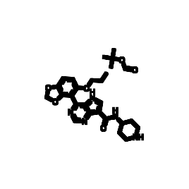 CC(C)(C)OC=O.CCCOc1ccc2c(c1-c1ncnc3c(C(=O)NC4CCNCC4)c[nH]c13)OCO2